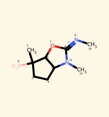 BC1(C)CCC2C1O/C(=N/C)N2C